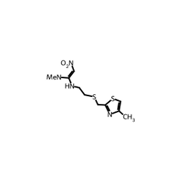 CNC(=C[N+](=O)[O-])NCCSCc1nc(C)cs1